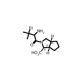 CCC(C)(C)C(N)C(=O)N1C[C@@H]2CCC[C@@H]2[C@H]1C(=O)O